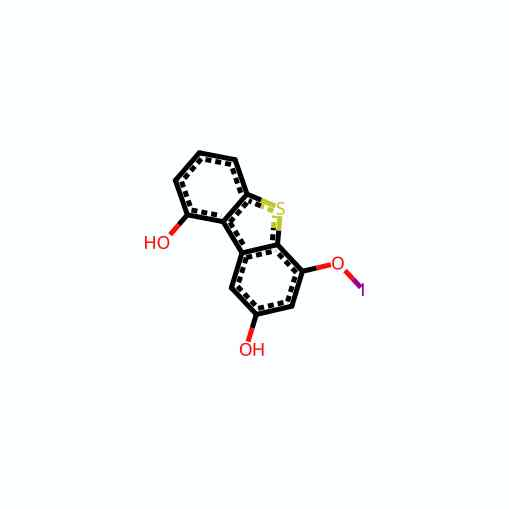 Oc1cc(OI)c2sc3cccc(O)c3c2c1